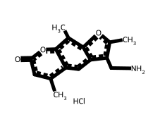 Cc1oc2c(C)c3oc(=O)cc(C)c3cc2c1CN.Cl